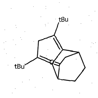 CC(C)(C)C1=C2C(=C(C(C)(C)C)C1)C1CCC2CC1=O